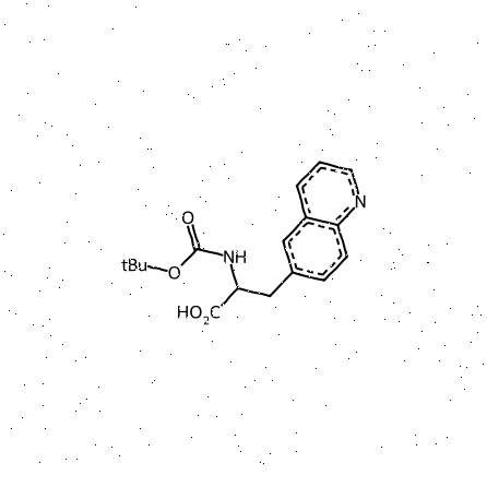 CC(C)(C)OC(=O)NC(Cc1ccc2ncccc2c1)C(=O)O